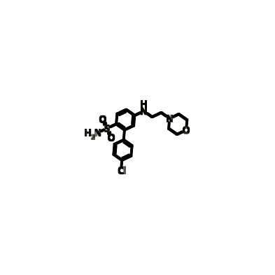 NS(=O)(=O)c1ccc(NCCN2CCOCC2)cc1-c1ccc(Cl)cc1